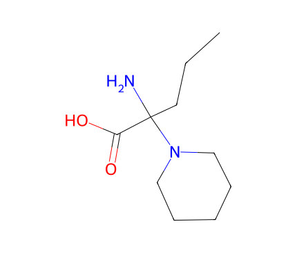 CCCC(N)(C(=O)O)N1CCCCC1